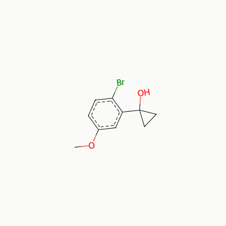 COc1ccc(Br)c(C2(O)CC2)c1